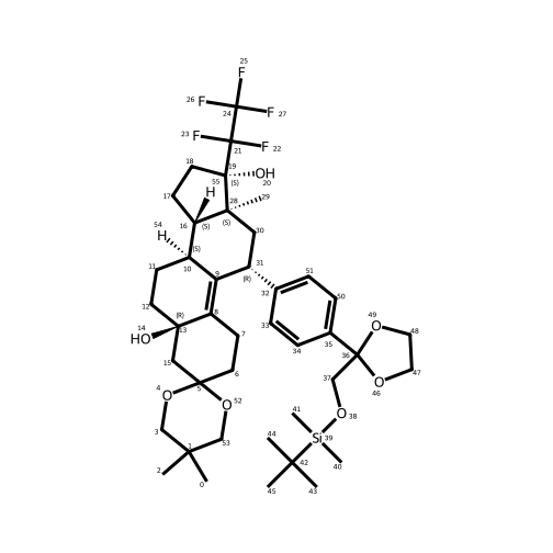 CC1(C)COC2(CCC3=C4[C@@H](CC[C@@]3(O)C2)[C@@H]2CC[C@@](O)(C(F)(F)C(F)(F)F)[C@@]2(C)C[C@@H]4c2ccc(C3(CO[Si](C)(C)C(C)(C)C)OCCO3)cc2)OC1